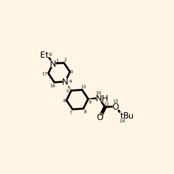 CCN1CCN([C@H]2CCC[C@H](NC(=O)OC(C)(C)C)C2)CC1